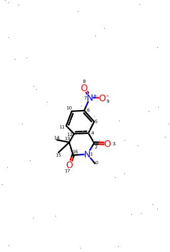 CN1C(=O)c2cc([N+](=O)[O-])ccc2C(C)(C)C1=O